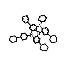 c1ccc(-c2cc3c4c(c2)N(c2ccc(C5CCCCC5)cc2)c2ccc(C5CCCCC5)cc2B4c2cc(C4CCCCC4)ccc2N3c2ccccc2)cc1